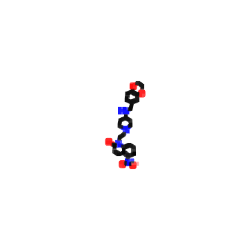 O=c1ccc2c([N+](=O)[O-])cccc2n1CCN1CCC(NCc2ccc3c(c2)OCCO3)CC1